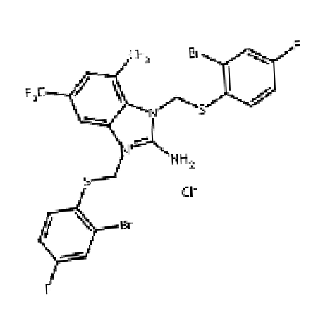 Nc1n(CSc2ccc(F)cc2Br)c2c(C(F)(F)F)cc(C(F)(F)F)cc2[n+]1CSc1ccc(F)cc1Br.[Cl-]